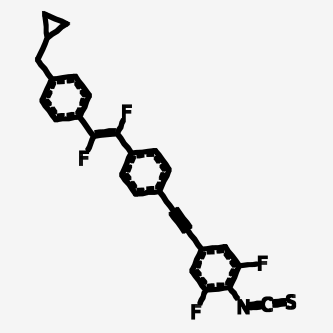 F/C(=C(/F)c1ccc(CC2CC2)cc1)c1ccc(C#Cc2cc(F)c(N=C=S)c(F)c2)cc1